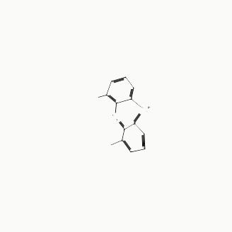 Cc1cccc2[s+]c3cccc(C)c3nc12.[I-]